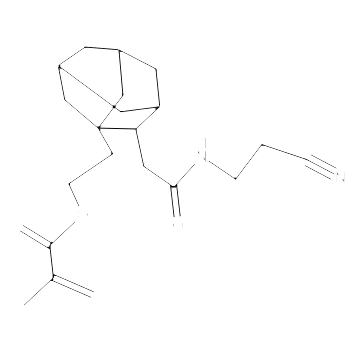 C=C(C)C(=O)OCCC12CC3CC(CC(C3)C1CC(=O)NCCC#N)C2